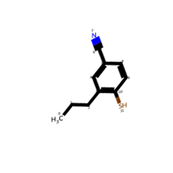 CCCc1cc(C#N)ccc1S